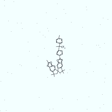 Cc1ccc(C(C)(c2ccc(-c3nc4cc5c(cc4o3)C3(CC(C)(C)c4cc6nc(C)oc6cc43)CC5(C)C)cc2)C(F)(F)F)cc1